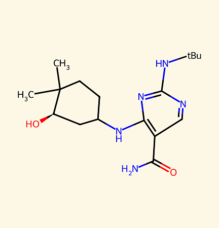 CC(C)(C)Nc1ncc(C(N)=O)c(NC2CCC(C)(C)[C@H](O)C2)n1